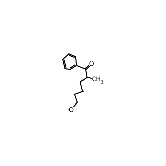 CC(CCCC[O])C(=O)c1ccccc1